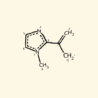 [CH2]C(=C)c1nccn1C